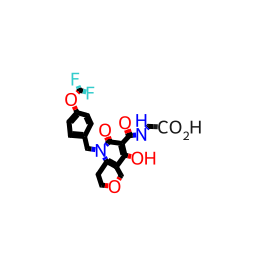 O=C(O)CNC(=O)c1c(O)c2c(n(Cc3ccc(OC(F)F)cc3)c1=O)CCOC2